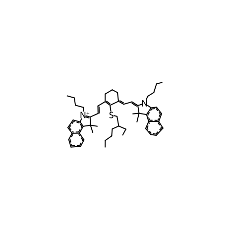 CCCCC(CC)CSC1=C(/C=C/C2=[N+](CCCC)c3ccc4ccccc4c3C2(C)C)CCC/C1=C\C=C1\N(CCCC)c2ccc3ccccc3c2C1(C)C